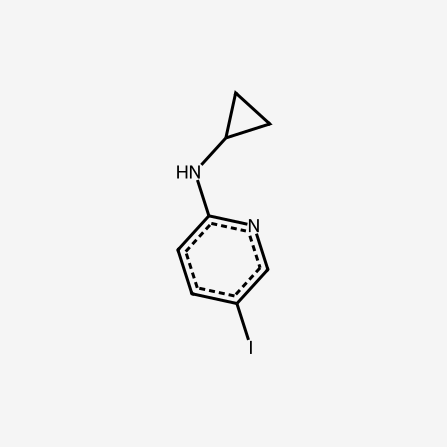 Ic1ccc(NC2CC2)nc1